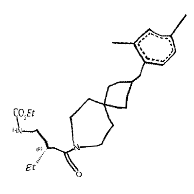 CCOC(=O)NC[C@@H](CC)C(=O)N1CCC2(CC1)CC(c1ccc(C)cc1C)C2